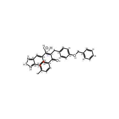 Cc1ccc(C(=O)/C(Cc2ccc(OCc3ccccc3)cc2)=C(/C(=O)O)c2ccc3nsnc3c2)cc1